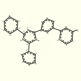 Cc1ccnc(-c2cccc(-c3nc(-c4ccccc4)nc(-c4ccccc4)n3)c2)c1